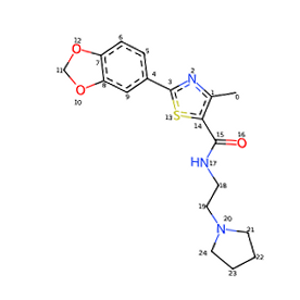 Cc1nc(-c2ccc3c(c2)OCO3)sc1C(=O)NCCN1CCCC1